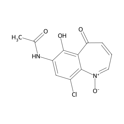 CC(=O)Nc1cc(Cl)c2c(c1O)c(=O)ccc[n+]2[O-]